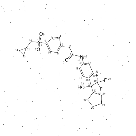 O=C(Cc1ccc(S(=O)(=O)CC2CC2)cc1)Nc1ccc(C(O)(C2CCCC2)C(F)(F)F)cc1